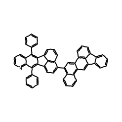 c1ccc(-c2c3c(c(-c4ccccc4)c4ncccc24)-c2ccc(-c4cc5c6cccc7c6c(cc5c5ccccc45)-c4ccccc4-7)c4cccc-3c24)cc1